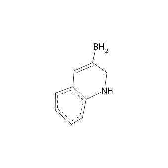 BC1=Cc2ccccc2NC1